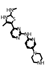 CNC1NC(C)=C(c2ccnc(Nc3ccc(N4CCNCC4)cn3)n2)S1